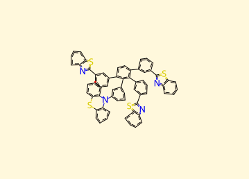 c1cc(-c2nc3ccccc3s2)cc(-c2ccc(-c3cccc(-c4nc5ccccc5s4)c3)c(-c3cccc(N4c5ccccc5Sc5ccccc54)c3)c2-c2cccc(-c3nc4ccccc4s3)c2)c1